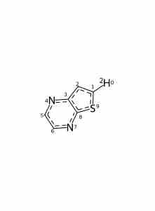 [2H]c1cc2nccnc2s1